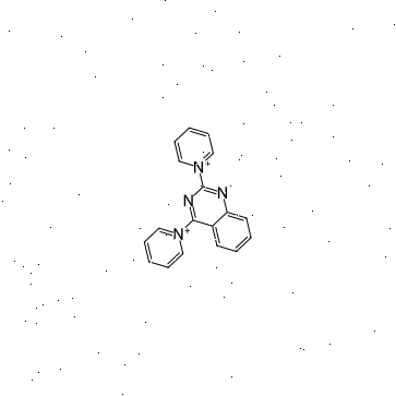 c1cc[n+](-c2nc(-[n+]3ccccc3)c3ccccc3n2)cc1